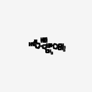 Cc1cc(-c2ccc3[nH]cnc3c2)ccc1CNC1CCC(C)(C)CC1.Cl.Cl